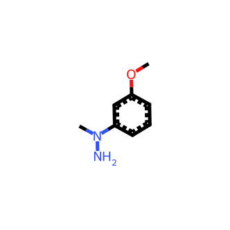 COc1cccc(N(C)N)c1